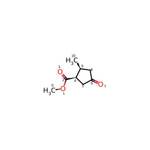 COC(=O)[C@@H]1CC(=O)C[C@@H]1C